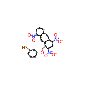 O=Cc1c([N+](=O)[O-])cc([N+](=O)[O-])c2cc3cccc([N+](=O)[O-])c3cc12.Sc1ccccc1